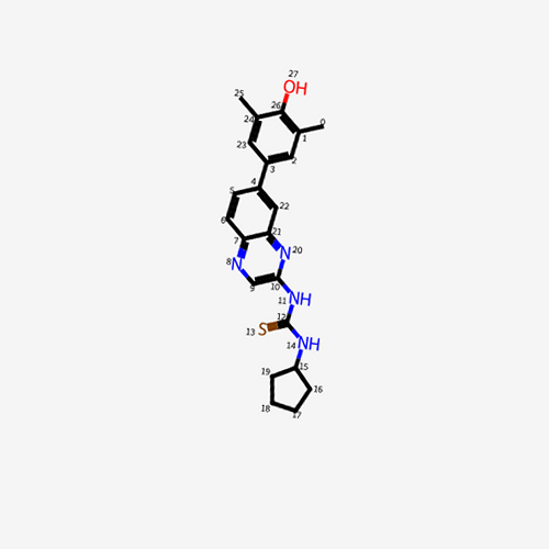 Cc1cc(-c2ccc3ncc(NC(=S)NC4CCCC4)nc3c2)cc(C)c1O